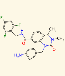 CC1c2ccc(C(=O)NCc3c(F)cc(F)cc3F)cc2N(Cc2ccc(N)cc2)C(=O)N1C